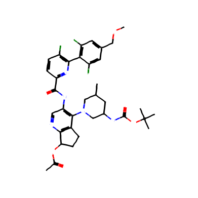 COCc1cc(F)c(-c2nc(C(=O)Nc3cnc4c(c3N3CC(C)CC(NC(=O)OC(C)(C)C)C3)CCC4OC(C)=O)ccc2F)c(F)c1